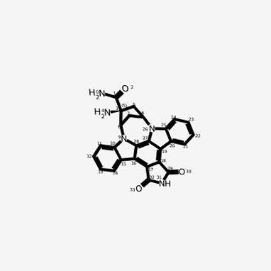 NC(=O)[C@]1(N)CC2CC1n1c3ccccc3c3c4c(c5c6ccccc6n2c5c31)C(=O)NC4=O